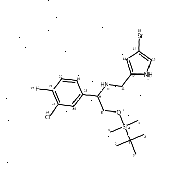 CC(C)(C)[Si](C)(C)OCC(NCc1cc(Br)c[nH]1)c1ccc(F)c(Cl)c1